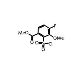 COC(=O)c1ccc(F)c(OC)c1S(=O)(=O)Cl